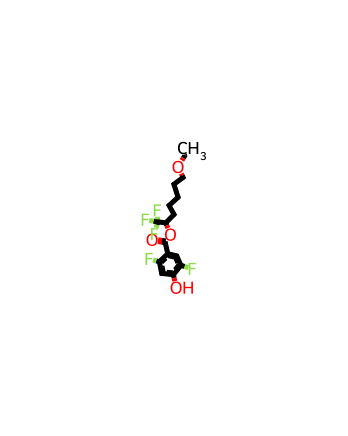 CCOCCCCCC(OC(=O)c1cc(F)c(O)cc1F)C(F)(F)F